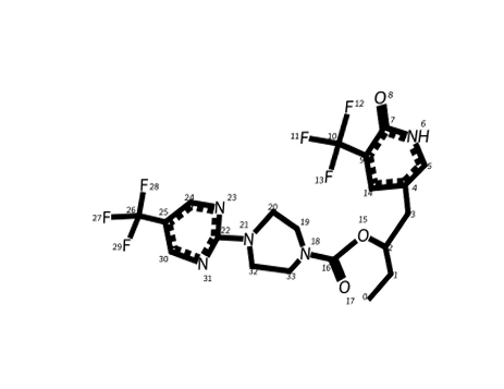 CCC(Cc1c[nH]c(=O)c(C(F)(F)F)c1)OC(=O)N1CCN(c2ncc(C(F)(F)F)cn2)CC1